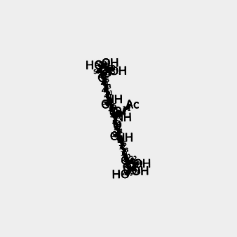 CC(=O)CCCC(=O)NC(COCCC(=O)NCCCCCCOC1OC(CO)C(O)C(O)C1C)COCCC(=O)NCCCCCCOC1OC(CO)C(O)C(O)C1C